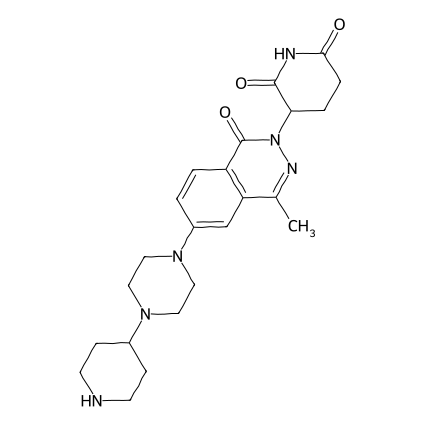 Cc1nn(C2CCC(=O)NC2=O)c(=O)c2ccc(N3CCN(C4CCNCC4)CC3)cc12